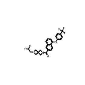 O=C(c1ccc2c(Oc3ccc(C(F)(F)F)cc3)cccc2c1)N1CC2(CN(CC(F)F)C2)C1